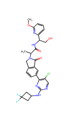 COc1cccc(C(CO)NC(=O)C(C)N2Cc3ccc(-c4nc(NC5CC(F)(F)C5)ncc4Cl)cc3C2=O)n1